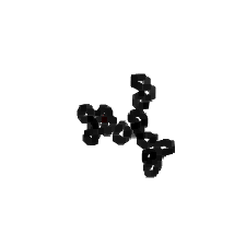 c1cc(-c2cccc(N(c3ccc(-c4ccc5c(ccc6ccccc65)c4)cc3)c3ccc(-c4cccc5c4oc4ccccc45)cc3)c2)cc(-c2ccccc2-n2c3ccccc3c3ccccc32)c1